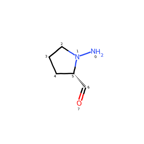 NN1CCC[C@H]1C=O